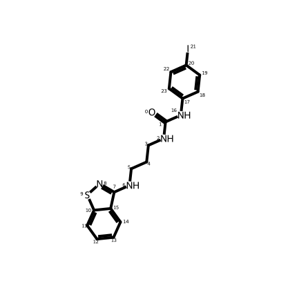 O=C(NCCCNc1nsc2ccccc12)Nc1ccc(I)cc1